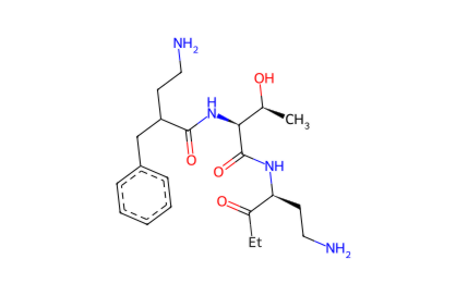 CCC(=O)[C@H](CCN)NC(=O)[C@@H](NC(=O)C(CCN)Cc1ccccc1)[C@H](C)O